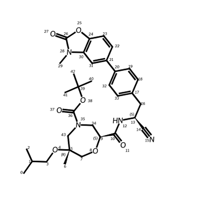 CC(C)CO[C@@]1(C)CO[C@H](C(=O)N[C@H](C#N)Cc2ccc(-c3ccc4oc(=O)n(C)c4c3)cc2)CN(C(=O)OC(C)(C)C)C1